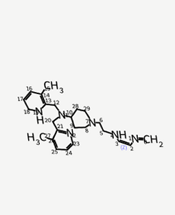 C=N/C=C\NCCN1CCC(N(CC2=C(C)C=CCN2)Cc2ncccc2C)CC1